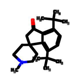 CN1CCC2(CC1)CC(=O)c1c(C(C)(C)C)ccc(C(C)(C)C)c12